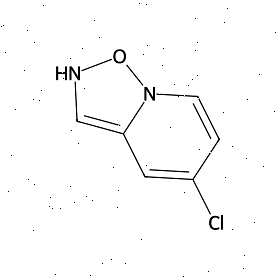 ClC1=CC2=CNON2C=C1